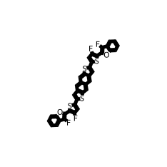 Fc1cc(-c2cc3cc4cc5sc(-c6cc(F)c(-c7oc8ccccc8c7F)s6)cc5cc4cc3s2)sc1-c1oc2ccccc2c1F